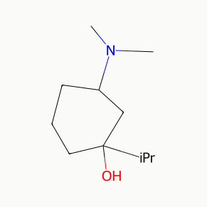 CC(C)C1(O)CCCC(N(C)C)C1